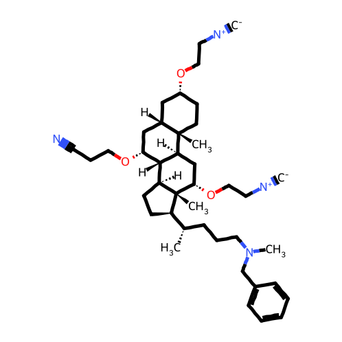 [C-]#[N+]CCO[C@@H]1CC[C@@]2(C)[C@@H](C1)C[C@@H](OCCC#N)[C@@H]1[C@@H]2C[C@H](OCC[N+]#[C-])[C@]2(C)[C@@H]([C@@H](C)CCCN(C)Cc3ccccc3)CC[C@@H]12